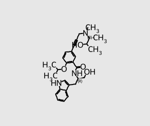 CC(C)Oc1ccc(C#CCN(C)[C@H](C)C(C)O)cc1C(=O)N[C@@H](CO)Cc1c[nH]c2ccccc12